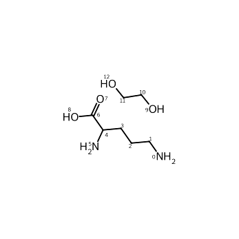 NCCCC(N)C(=O)O.OCCO